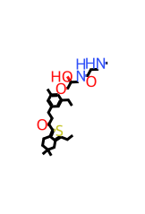 CCc1cc(CCC(=O)c2sc(CC)c3c2CCC(C)(C)C3)cc(C)c1OCC(O)CNC(=O)CCNC